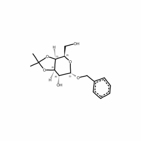 CC1(C)O[C@@H]2[C@@H](O)[C@@H](OCc3ccccc3)O[C@H](CO)[C@@H]2O1